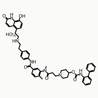 Cc1ccc(C(=O)Nc2ccc(CCNC[C@H](O)c3ccc(O)c4[nH]c(=O)ccc34)cc2)cc1N(C)C(=O)CCN1CCC(OC(=O)Nc2ccccc2-c2ccccc2)CC1